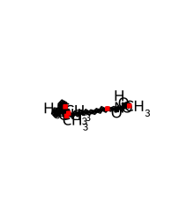 COC(=O)CNC(=O)CCCCCCCCCCCCC=CCCCC(C)O[Si](c1ccccc1)(c1ccccc1)C(C)(C)C